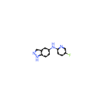 Fc1ccc(Nc2ccc3[nH]ncc3c2)nc1